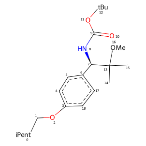 CCCC(C)COc1ccc([C@@H](NC(=O)OC(C)(C)C)C(C)(C)OC)cc1